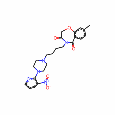 Cc1ccc2c(c1)OCC(=O)N(CCCCN1CCN(c3ncccc3[N+](=O)[O-])CC1)C2=O